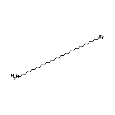 CC(C)CCCCCCCCCCCCCCCCCCCCCCCCCCCCCCCCCN